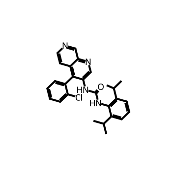 CC(C)c1cccc(C(C)C)c1NC(=O)Nc1cnc2cnccc2c1-c1ccccc1Cl